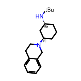 CC(C)(C)N[C@@H]1CCC[C@@H](N2CCc3ccccc3C2)C1